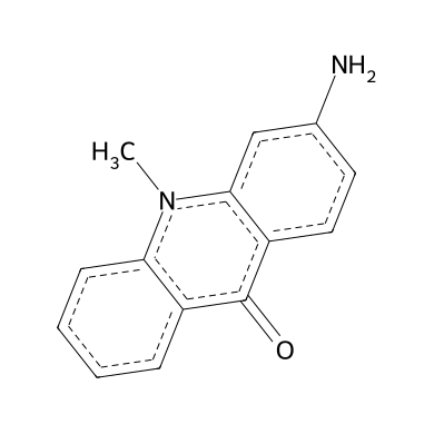 Cn1c2ccccc2c(=O)c2ccc(N)cc21